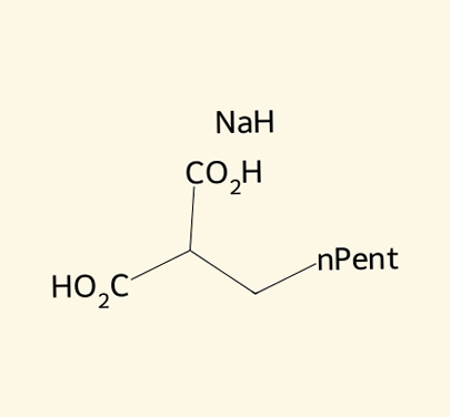 CCCCCCC(C(=O)O)C(=O)O.[NaH]